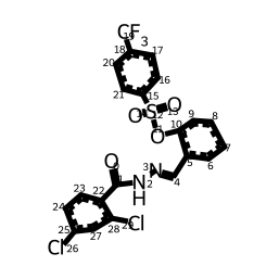 O=C(N/N=C/c1ccccc1OS(=O)(=O)c1ccc(C(F)(F)F)cc1)c1ccc(Cl)cc1Cl